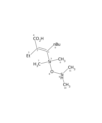 CCCCC(=C(CC)C(=O)O)[Si](C)(C)O[SiH](C)C